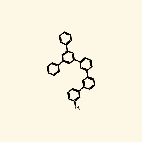 Bc1cccc(-c2cccc(-c3cccc(-c4cc(-c5ccccc5)cc(-c5ccccc5)c4)c3)c2)c1